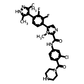 Cc1n[nH]c(C)c1-c1ccc(-c2cnc(C(=O)Nc3ccc(C(=O)N4CCNCC4)c(Cl)c3)n2C)c(F)c1F